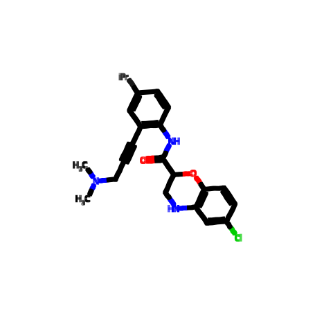 CC(C)c1ccc(NC(=O)C2CNc3cc(Cl)ccc3O2)c(C#CCN(C)C)c1